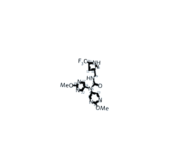 COc1ncc(N(C(=O)NCc2cc(C(F)(F)F)[nH]n2)c2cnc(OC)nc2)cn1